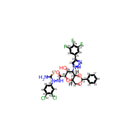 NC(=S)N(NC(=O)[C@@H]1O[C@@H]2COC(c3ccccc3)O[C@@H]2[C@H](n2cc(-c3cc(F)c(F)c(F)c3)nn2)[C@H]1O)c1ccc(Cl)c(Cl)c1